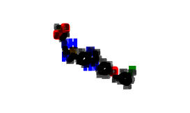 CS(=O)(=O)CCNCc1ncc(-c2ccc3c(Nc4ccc(OCc5cccc(F)c5)cc4)ccnc3c2)s1